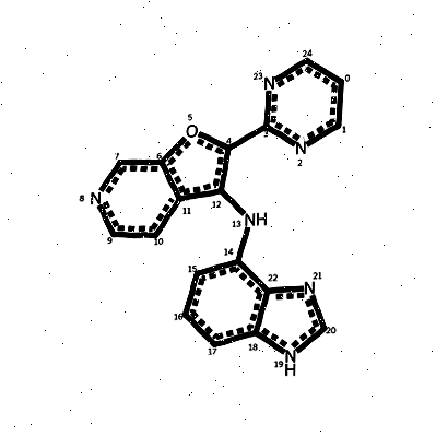 c1cnc(-c2oc3cnccc3c2Nc2cccc3[nH]cnc23)nc1